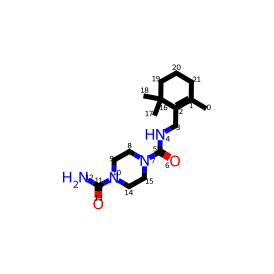 CC1=C(CNC(=O)N2CCN(C(N)=O)CC2)C(C)(C)CCC1